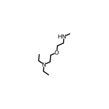 CCN(CC)CCOCCNC